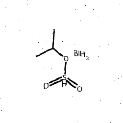 CC(C)O[SH](=O)=O.[BiH3]